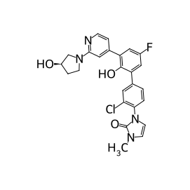 Cn1ccn(-c2ccc(-c3cc(F)cc(-c4ccnc(N5CC[C@@H](O)C5)c4)c3O)cc2Cl)c1=O